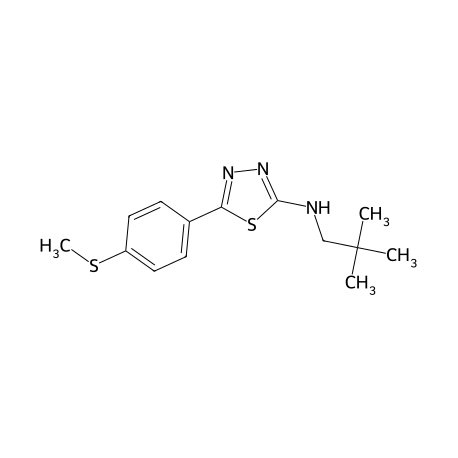 CSc1ccc(-c2nnc(NCC(C)(C)C)s2)cc1